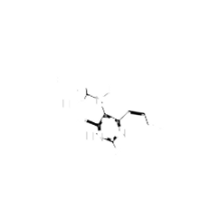 CCN(c1c(/C=C\C(C)C)nc(Cl)[nH]c1=O)C(C)C(=O)O